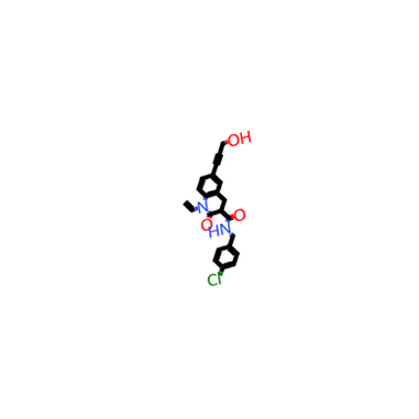 C=CN1C(=O)C(C(=O)NCc2ccc(Cl)cc2)Cc2cc(C#CCO)ccc21